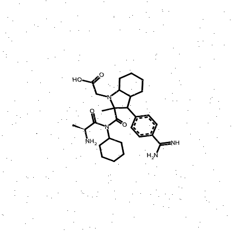 C[C@H](N)C(=O)N(C(=O)C1(C)C(c2ccc(C(=N)N)cc2)C2CCCCC2N1CC(=O)O)C1CCCCC1